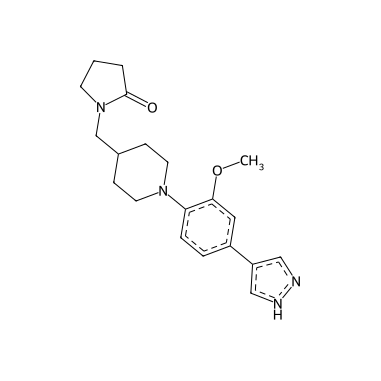 COc1cc(-c2cn[nH]c2)ccc1N1CCC(CN2CCCC2=O)CC1